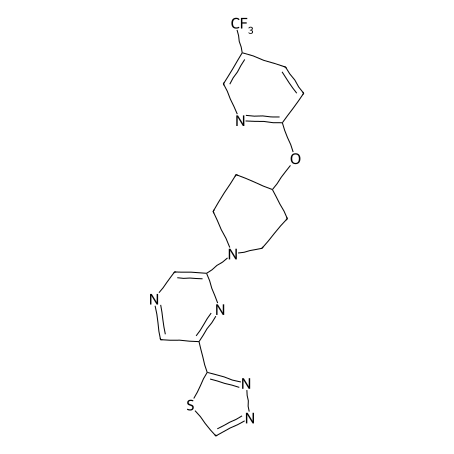 FC(F)(F)c1ccc(OC2CCN(c3cncc(-c4nncs4)n3)CC2)nc1